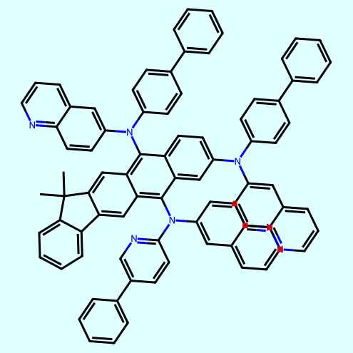 CC1(C)c2ccccc2-c2cc3c(N(c4ccc5ncccc5c4)c4ccc(-c5ccccc5)cn4)c4cc(N(c5ccc(-c6ccccc6)cc5)c5ccc6ncccc6c5)ccc4c(N(c4ccc(-c5ccccc5)cc4)c4ccc5ncccc5c4)c3cc21